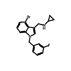 Fc1cccc(Cn2cc(CNC3CC3)c3c(Br)cccc32)c1